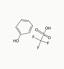 O=S(=O)(O)C(F)(F)F.Oc1ccccc1